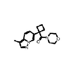 Cc1cnn2cc(C3(C(=O)N4CCOCC4)CCC3)ccc12